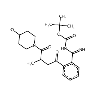 CC(CC(=O)c1ccccc1C(=N)NC(=O)OC(C)(C)C)C(=O)N1CCC([O])CC1